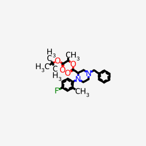 Cc1cc(F)ccc1N1CCN(Cc2ccccc2)CC1C(=O)OC(C)C(=O)OC(C)(C)C